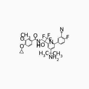 COc1cc(C(=O)NCC(O)(c2cc(C(C)(C)N)cc(-c3ccc(F)c(C#N)c3)n2)C(F)(F)F)ccc1OC1CC1